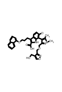 Cc1c(-c2c(Cl)ccc3c(CCCOc4cccc5ccccc45)c(C(=O)O)[nH]c23)c(COCc2nocc2CO)nn1C